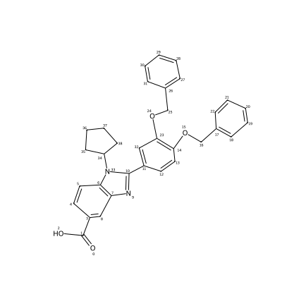 O=C(O)c1ccc2c(c1)nc(-c1ccc(OCc3ccccc3)c(OCc3ccccc3)c1)n2C1CCCC1